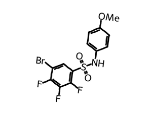 COc1ccc(NS(=O)(=O)c2cc(Br)c(F)c(F)c2F)cc1